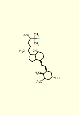 C=C1/C(=C\C=C2CCC[C@@]3(C)C2CC[C@@H]3[C@H](C)CCC(OC(C)=O)C(C)(C)F)C[C@@H](O)C[C@H]1OC(C)=O